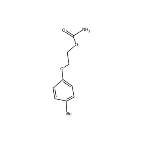 CCC(C)c1ccc(OCCOC(N)=O)cc1